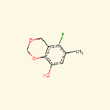 Cc1cc(O)c2c(c1F)COCO2